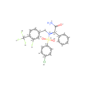 NC(=O)[C@@H](c1ccccc1)N(Cc1ccc(C(F)(F)F)c(F)c1)S(=O)(=O)c1ccc(Cl)cc1